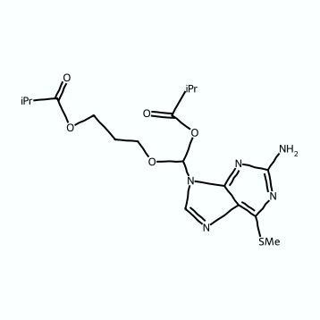 CSc1nc(N)nc2c1ncn2C(OCCCOC(=O)C(C)C)OC(=O)C(C)C